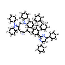 C=C1/C=C\c2c(n(-c3ccccc3)c3ccccc23)CN(c2ccccc2)c2ccc(C3(c4cccc(-c5nc(-c6ccccc6)cc(-c6ccccc6)n5)c4)c4ccccc4-c4ccccc43)cc21